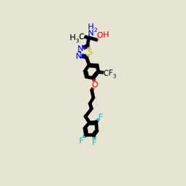 CC(N)(CO)c1nnc(-c2ccc(OCCCCCc3cc(F)c(F)cc3F)c(C(F)(F)F)c2)s1